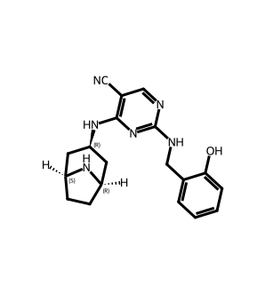 N#Cc1cnc(NCc2ccccc2O)nc1N[C@H]1C[C@H]2CC[C@@H](C1)N2